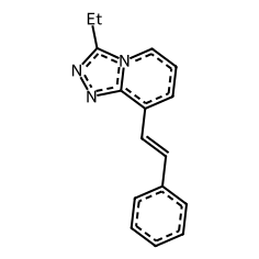 CCc1nnc2c(C=Cc3ccccc3)cccn12